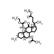 CCOC(=O)N[C@@H]1C(=O)[C@@]2(C)C(CCC2[C@H](C)CCC(=O)OC)C2C1[C@@]1(C)CC[C@@H](C)C[C@H]1C[C@H]2OC(C)=O